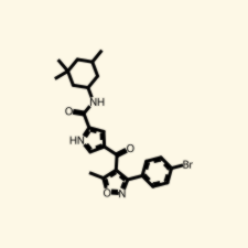 Cc1onc(-c2ccc(Br)cc2)c1C(=O)c1c[nH]c(C(=O)NC2CC(C)CC(C)(C)C2)c1